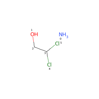 N.OCC(Cl)Cl